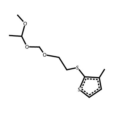 COC(C)OCOCCSc1sccc1C